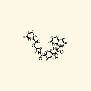 O=C(OC1CN(C(=O)c2ccc(NS(=O)(=O)c3cccc4cccnc34)cc2)C1)c1ccccn1